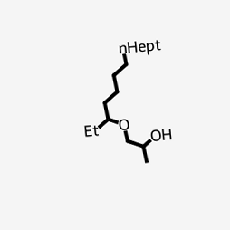 CCCCCCCCCCCC(CC)OCC(C)O